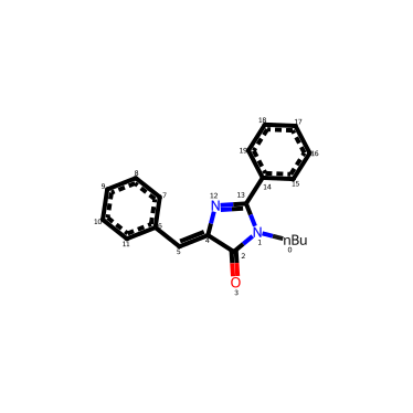 CCCCN1C(=O)/C(=C/c2ccccc2)N=C1c1ccccc1